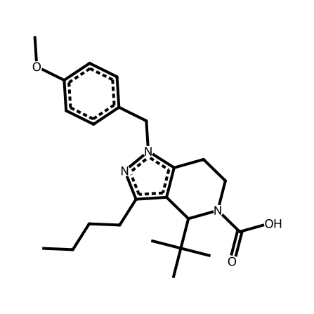 CCCCc1nn(Cc2ccc(OC)cc2)c2c1C(C(C)(C)C)N(C(=O)O)CC2